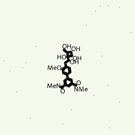 CNC(=O)c1cc(C(=O)NC)cc(-c2ccc(CC(O)C3(O)C(O)C(O)C3CO)c(OC)c2)c1